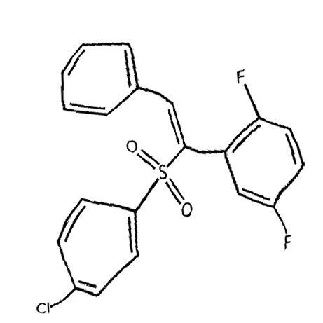 O=S(=O)(C(=Cc1ccccc1)c1cc(F)ccc1F)c1ccc(Cl)cc1